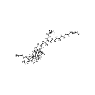 CC(C)CCC[C@@H](C)[C@H]1CC[C@H]2[C@@H]3CC=C4C[C@@H](OC(=O)N(CCCN)CCCCCCCCCCN)CC[C@]4(C)[C@H]3CC[C@]12C